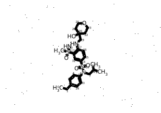 CCc1ccc(N(CC(C)C)S(=O)(=O)c2ccc(NCC3(O)CCOCC3)c(S(C)(=N)=O)c2)cc1